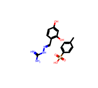 Cc1ccc(S(=O)(=O)O)cc1.N=C(N)NN=Cc1ccc(O)cc1O